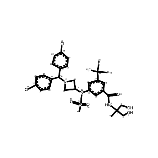 CC(CO)(CO)NC(=O)c1cc(N(C2CN(C(c3ccc(Cl)cc3)c3ccc(Cl)cc3)C2)S(C)(=O)=O)cc(C(F)(F)F)c1